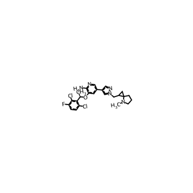 C[C@@H](Oc1cc(-c2cnn(CC3CC34CCCN4C)c2)cnc1N)c1c(Cl)ccc(F)c1Cl